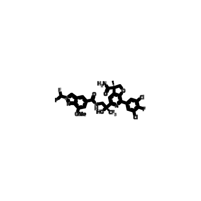 COc1cc(C(=O)NC[C@](O)(c2cc3c(c(-c4cc(Cl)c(F)c(Cl)c4)n2)OC[C@]3(C)C(N)=O)C(F)(F)F)cc2cn(C(F)F)nc12